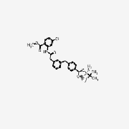 COC(=O)c1ccc(Cl)cc1NC(=O)Cc1cccc(Cc2ccc(C(C)O[Si](C)(C)C(C)(C)C)cc2)c1